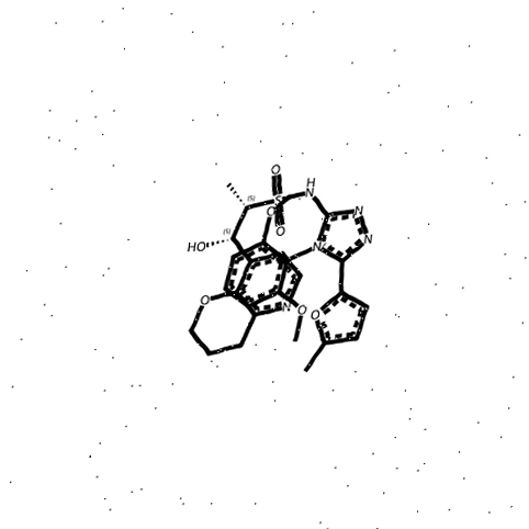 COc1cccc(OC)c1-n1c(NS(=O)(=O)[C@@H](C)[C@@H](O)c2ccnc3c2OCCC3)nnc1-c1ccc(C)o1